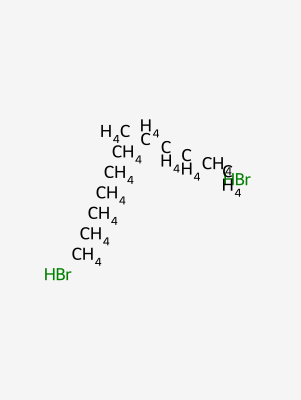 Br.Br.C.C.C.C.C.C.C.C.C.C.C.C